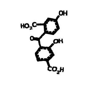 O=C(O)c1ccc(C(=O)c2ccc(O)cc2C(=O)O)c(O)c1